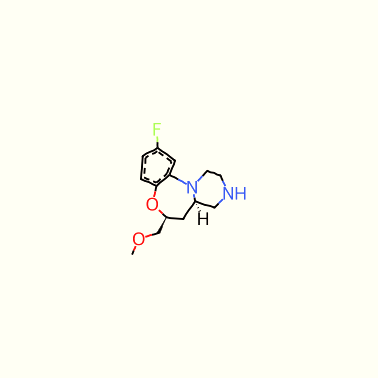 COC[C@@H]1C[C@@H]2CNCCN2c2cc(F)ccc2O1